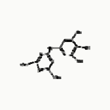 CCCCCCCCCCc1nc(CCCCCCCCCC)nc(Nc2cc(C(C)(C)C)c(O)c(C(C)(C)C)c2)n1